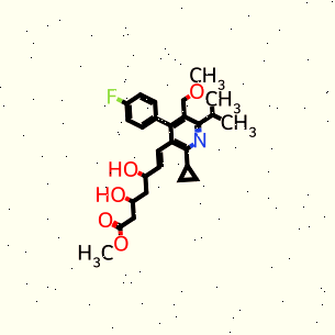 COCc1c(C(C)C)nc(C2CC2)c(C=CC(O)CC(O)CC(=O)OC)c1-c1ccc(F)cc1